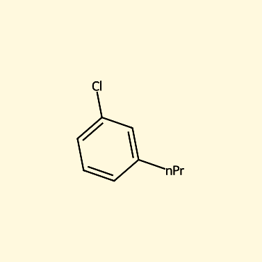 C[CH]Cc1cccc(Cl)c1